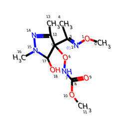 CO/N=C(\C)C1(ONC(=O)OC)C(C)=NN(C)C1O